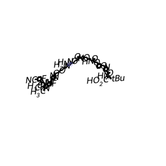 Cc1nc2cc(F)c(-c3cnc(OCCOCCN(N)/C=C(\N)COCC(=O)N4CC(OCCNC(=O)COc5cccc(Oc6ccc(C(=O)N[C@@H](CCC(C)(C)C)C(=O)O)cn6)c5)C4)nc3)nc2c(N[C@H](C)c2cc(C#N)ccc2F)c1Cl